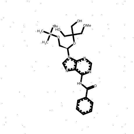 COCC(CO)(CO)O[C@H](CO[Si](C)(C)C(C)(C)C)n1cnc2c(NC(=O)c3ccccc3)ncnc21